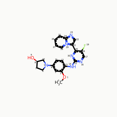 COc1cc(N2CC[C@@H](O)C2)ccc1Nc1ncc(F)c(-c2cnc3ccccn23)n1